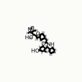 Cc1cc(O)ccc1C(NC(=O)Cc1ccc2oc(C(O)c3c(C)noc3C)cc2c1)c1ccccc1